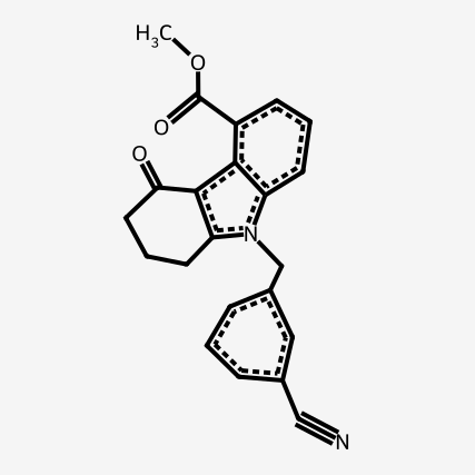 COC(=O)c1cccc2c1c1c(n2Cc2cccc(C#N)c2)CCCC1=O